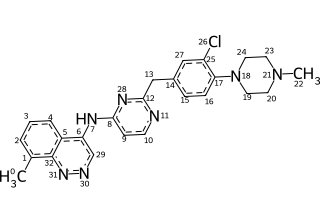 Cc1cccc2c(Nc3ccnc(Cc4ccc(N5CCN(C)CC5)c(Cl)c4)n3)cnnc12